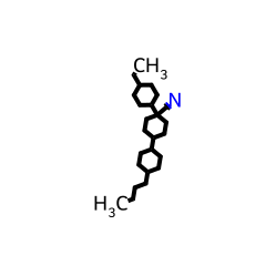 CCCCC1CCC(C2CCC(C#N)(C3CCC(CC)CC3)CC2)CC1